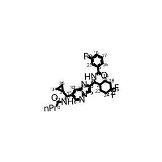 CCCC(=O)N[C@@H](c1cnn2cc([C@@H](NC(=O)c3cccc(F)c3)C3CCC(F)(F)CC3)nc2c1)C1CC1